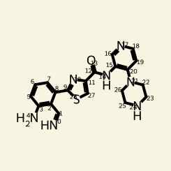 N=Cc1c(N)cccc1-c1nc(C(=O)Nc2cnccc2N2CCNCC2)cs1